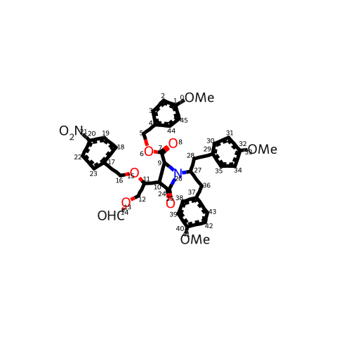 COc1ccc(COC(=O)C2C(C(COC=O)OCc3ccc([N+](=O)[O-])cc3)C(=O)N2C(Cc2ccc(OC)cc2)Cc2ccc(OC)cc2)cc1